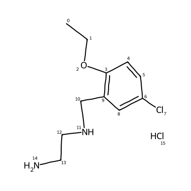 CCOc1ccc(Cl)cc1CNCCN.Cl